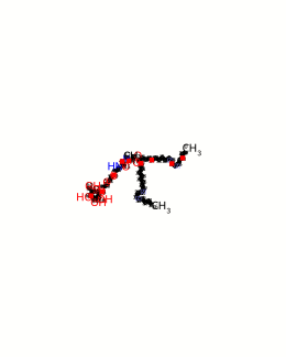 CCCCC/C=C\C/C=C\CCCCCCCCC1(CCCCCCCC/C=C\C/C=C\CCCCC)OC[C@H](CN(C)CC(=O)NCCOCCOCCO[C@@H]2O[C@H](CO)[C@@H](O)C(O)C2O)O1